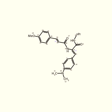 CCCNC(=O)/C(=C/c1ccc(N(C)C)cc1)NC(=O)/C=C/c1ccc(OC)cc1